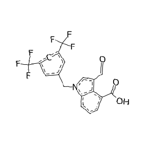 O=Cc1cn(Cc2cc(C(F)(F)F)cc(C(F)(F)F)c2)c2cccc(C(=O)O)c12